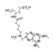 CN(CCCCC(=O)N[C@@H](CCC(=O)O)C(=O)O)Cc1cnc2nc(N)nc(N)c2n1